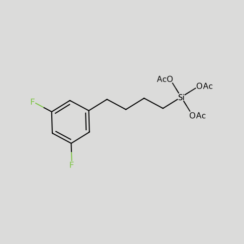 CC(=O)O[Si](CCCCc1cc(F)cc(F)c1)(OC(C)=O)OC(C)=O